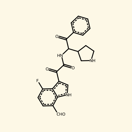 O=Cc1ccc(F)c2c(C(=O)C(=O)NC(C(=O)c3ccccc3)C3CCNC3)c[nH]c12